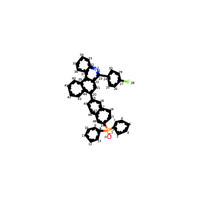 O=P(c1ccccc1)(c1ccccc1)c1ccc2cc(-c3cc4c(-c5ccc(F)cc5)nc5ccccc5c4c4ccccc34)ccc2c1